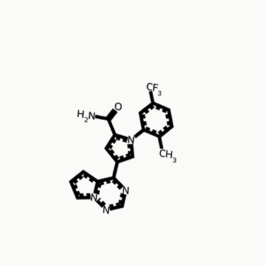 Cc1ccc(C(F)(F)F)cc1-n1cc(-c2ncnn3cccc23)cc1C(N)=O